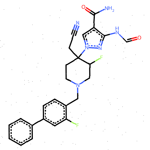 N#CCC1(n2cc(C(N)=O)c(NC=O)n2)CCN(Cc2ccc(-c3ccccc3)cc2F)CC1F